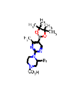 CC(C)C1CN(C(=O)O)CCN1c1ncc(B2OC(C)(C)C(C)(C)O2)c(C(F)(F)F)n1